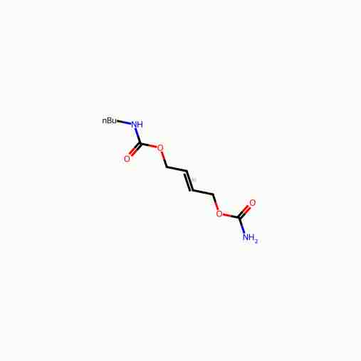 CCCCNC(=O)OC/C=C/COC(N)=O